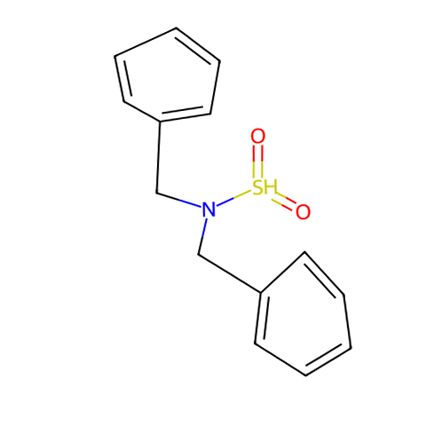 O=[SH](=O)N(Cc1ccccc1)Cc1ccccc1